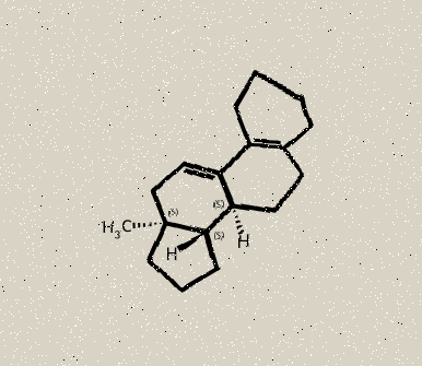 C[C@]12CC=C3C4=C(CCCC4)CC[C@H]3[C@@H]1CCC2